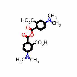 CN(C)c1ccc(C(=O)OC(=O)c2ccc(N(C)C)cc2C(=O)O)c(C(=O)O)c1